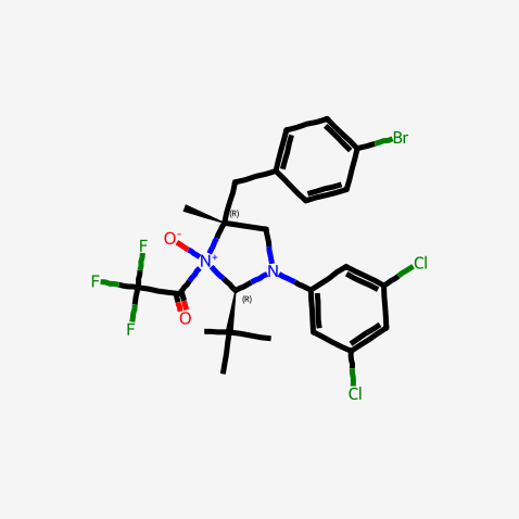 CC(C)(C)[C@@H]1N(c2cc(Cl)cc(Cl)c2)C[C@@](C)(Cc2ccc(Br)cc2)[N+]1([O-])C(=O)C(F)(F)F